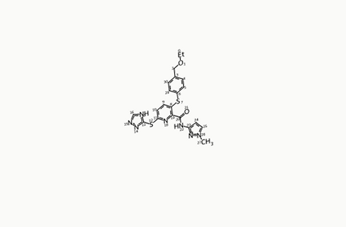 CCOCc1ccc(Sc2ccc(Sc3nnc[nH]3)nc2C(=O)Nc2ccn(C)n2)cc1